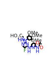 COc1cc(N(NCC(=O)O)c2ncc(F)c(Nc3ccc4c(n3)NC(=O)C(C)(C)O4)n2)cc(OC)c1OC